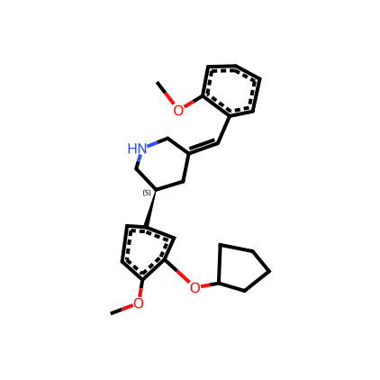 COc1ccccc1C=C1CNC[C@H](c2ccc(OC)c(OC3CCCC3)c2)C1